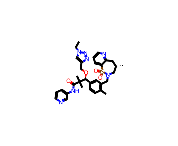 CCn1cc(CO[C@@H](c2ccc(C)c(CN3C[C@@H](C)Cc4ncccc4S3(=O)=O)c2)C(C)(C)C(=O)Nc2cccnc2)nn1